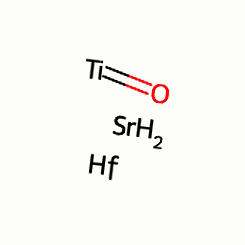 [Hf].[O]=[Ti].[SrH2]